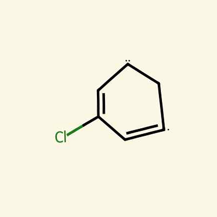 ClC1=C[C]C[C]=C1